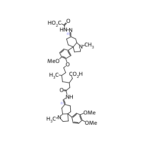 COc1ccc(C23CC/C(=C\NC(=O)CC(CC(=O)O)CC(C)CCOc4cc(C56CC/C(=N\NC(=O)C(=O)O)CC5N(C)CC6)ccc4OC)CC2N(C)CC3)cc1OC